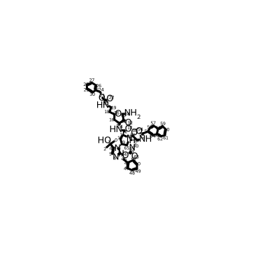 CC(C)(O)c1cnnn1[C@H]1C[C@@H](C(=O)NC(CCCCNC(=O)OCc2ccccc2)C(=O)C(N)=O)N(C(=O)[C@@H](CNC(=O)OCc2ccccc2)NC(=O)c2ccc3ccccc3c2)C1